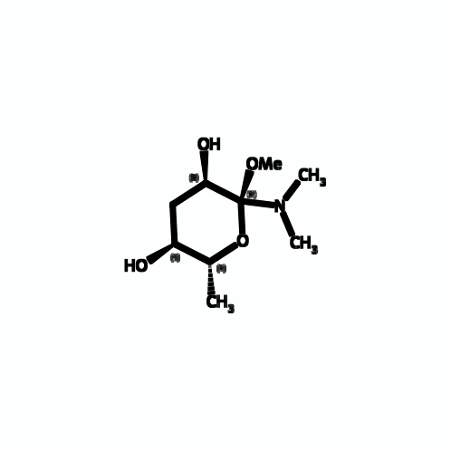 CO[C@@]1(N(C)C)O[C@H](C)[C@@H](O)C[C@H]1O